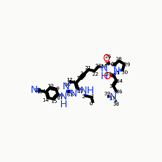 CCCNc1nc(Nc2ccc(C#N)cc2)ncc1C#CCCCNC(=O)[C@@H]1CCCN1C(=O)C=CCN(C)C